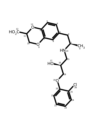 C[C@H](Cc1ccc2c(c1)OCC(C(=O)O)O2)NC[C@H](O)COc1ccccc1Cl